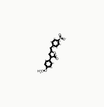 COc1ccc(C2=CC(=Cc3ccc([N+](=O)[O-])cc3)OC2=O)cc1